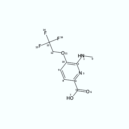 CNc1nc(C(=O)O)ccc1OCC(F)(F)F